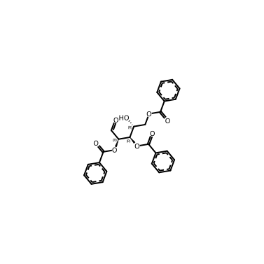 O=C[C@H](OC(=O)c1ccccc1)[C@H](OC(=O)c1ccccc1)[C@H](O)COC(=O)c1ccccc1